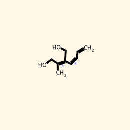 C=C/C=C\C(CO)=C(/C)CO